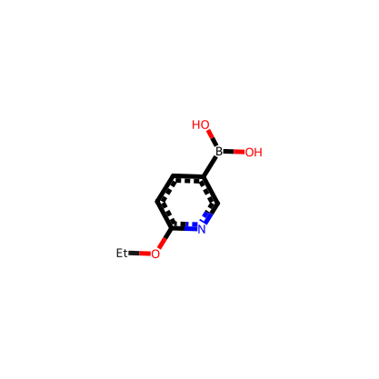 CCOc1ccc(B(O)O)cn1